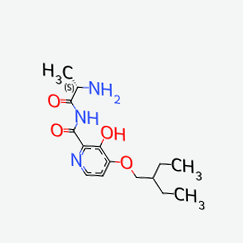 CCC(CC)COc1ccnc(C(=O)NC(=O)[C@H](C)N)c1O